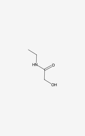 CCNC(=O)CO